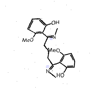 C/N=C(/CCC/C(=N/C)c1c(O)cccc1OC)c1c(O)cccc1OC